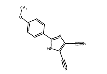 COc1ccc(-c2nc(C#N)c(C#N)[nH]2)cc1